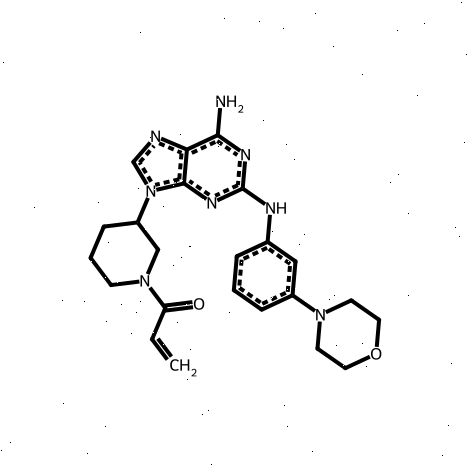 C=CC(=O)N1CCCC(n2cnc3c(N)nc(Nc4cccc(N5CCOCC5)c4)nc32)C1